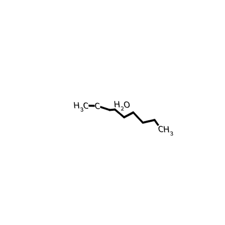 CCCCCCCCC.O